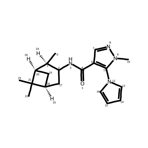 C[C@H]1C(NC(=O)c2cnn(C)c2-n2cccc2)C[C@@H]2C[C@H]1C2(C)C